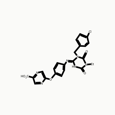 CCn1c(=O)[nH]/c(=N\c2ccc(Oc3cnc(C(=O)O)cn3)cc2)n(Cc2ccc(Cl)cc2)c1=O